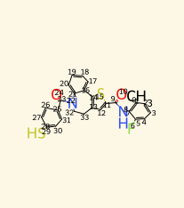 Cc1cccc(F)c1NC(=O)c1cc2c(s1)-c1ccccc1N(C(=O)c1ccc(S)cc1)CC2